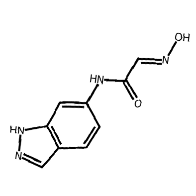 O=C(/C=N/O)Nc1ccc2cn[nH]c2c1